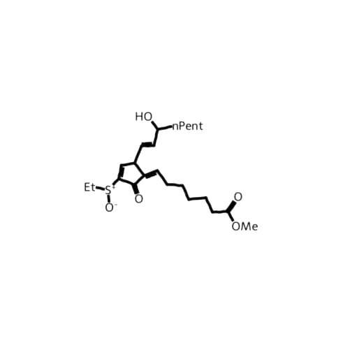 CCCCCC(O)C=CC1C=C([S+]([O-])CC)C(=O)C1=CCCCCCC(=O)OC